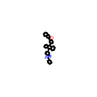 Cn1c(-c2ccccc2)nc2cc(-c3c4ccccc4c(-c4ccc5oc6cc7ccccc7cc6c5c4)c4ccccc34)ccc21